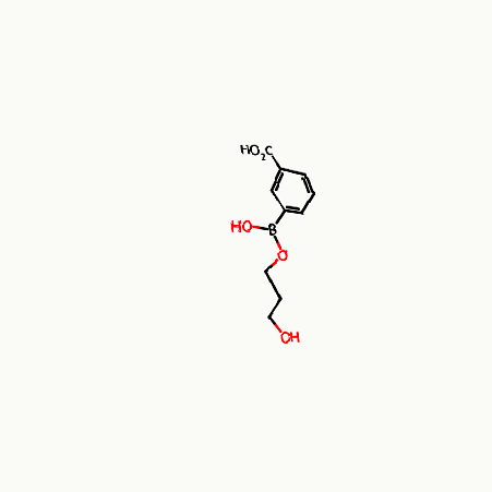 O=C(O)c1cccc(B(O)OCCCO)c1